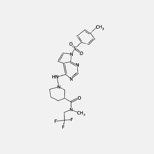 Cc1ccc(S(=O)(=O)n2ccc3c(NN4CCCC(C(=O)N(C)CC(F)(F)F)C4)ncnc32)cc1